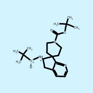 CC(C)(C)OC(=O)N1CCC2(CC1)c1ncccc1C[C@H]2N[S@+]([O-])C(C)(C)C